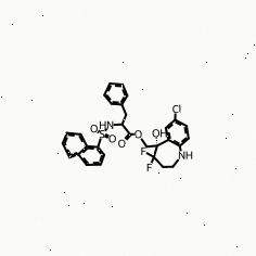 O=C(OC[C@@]1(O)c2cc(Cl)ccc2NCCC1(F)F)C(Cc1ccccc1)NS(=O)(=O)c1cccc2ccccc12